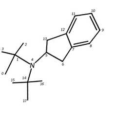 CC(C)(C)N(C1Cc2ccccc2C1)C(C)(C)C